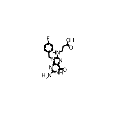 Nc1nc2c(nc(NCCC(=O)O)n2Cc2ccc(F)cc2)c(=O)[nH]1